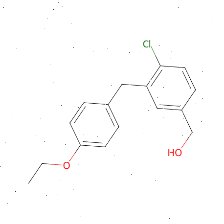 CCOc1ccc(Cc2cc(CO)ccc2Cl)cc1